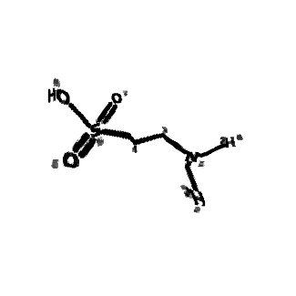 [2H]N([2H])CCS(=O)(=O)O